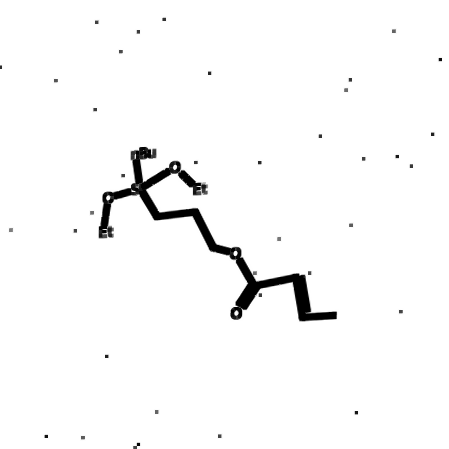 CC=CC(=O)OCCC[Si](CCCC)(OCC)OCC